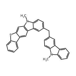 Cn1c2ccccc2c2cc(Cc3ccc4c(c3)c3cc5c(cc3n4C)sc3ccccc35)ccc21